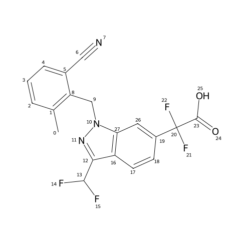 Cc1cccc(C#N)c1Cn1nc(C(F)F)c2ccc(C(F)(F)C(=O)O)cc21